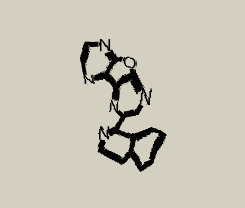 c1ccc2c(-c3cnc4oc5nccnc5c4n3)nccc2c1